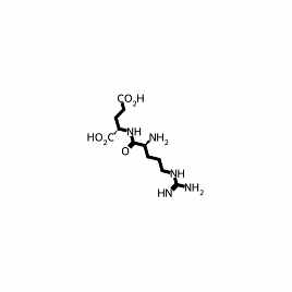 N=C(N)NCCC[C@H](N)C(=O)N[C@@H](CCC(=O)O)C(=O)O